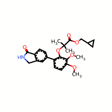 COc1ccc(-c2ccc3c(c2)CNC3=O)c(OC(C)(C)C(=O)OCC2CC2)c1OC